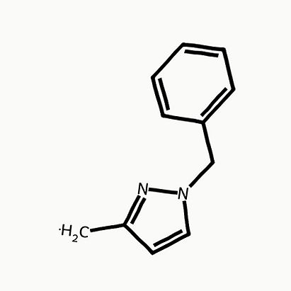 [CH2]c1ccn(Cc2ccccc2)n1